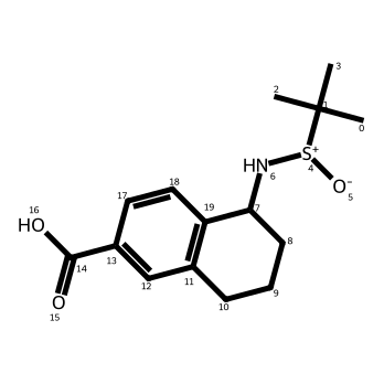 CC(C)(C)[S+]([O-])NC1CCCc2cc(C(=O)O)ccc21